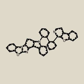 c1ccc(-c2nccc3c2oc2ccccc23)c(-c2ccccc2-n2c3ccccc3c3c4nc5oc6ccccc6n5c4ccc32)c1